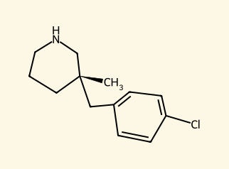 C[C@@]1(Cc2ccc(Cl)cc2)CCCNC1